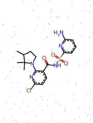 CC1CCN(c2nc(Cl)ccc2C(=O)NS(=O)(=O)c2cccc(N)n2)C1(C)C